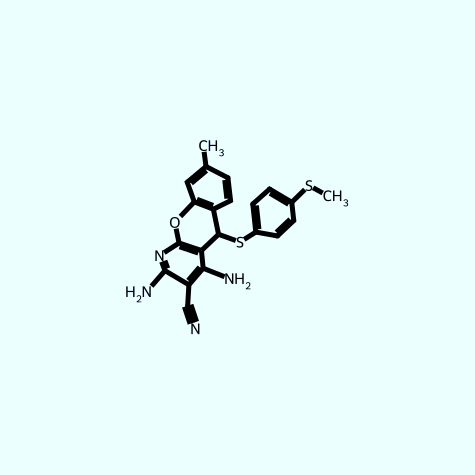 CSc1ccc(SC2c3ccc(C)cc3Oc3nc(N)c(C#N)c(N)c32)cc1